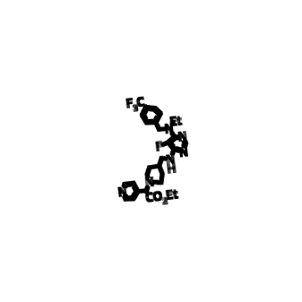 CCOC(=O)C(c1ccncc1)N1CCC(CNc2ncnc(N(CC)Cc3ccc(C(F)(F)F)cc3)c2F)CC1